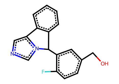 OCc1ccc(F)c(C2c3ccccc3-c3cncn32)c1